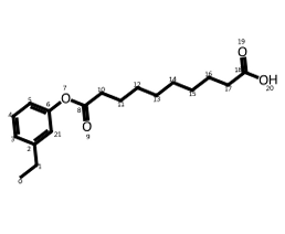 CCc1cccc(OC(=O)CCCCCCCCC(=O)O)c1